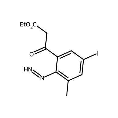 CCOC(=O)CC(=O)c1cc(I)cc(C)c1N=N